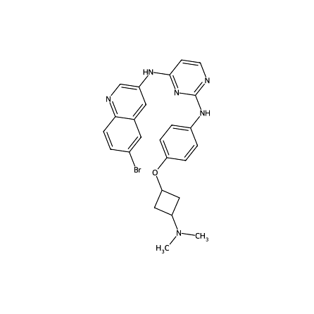 CN(C)C1CC(Oc2ccc(Nc3nccc(Nc4cnc5ccc(Br)cc5c4)n3)cc2)C1